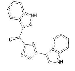 O=C(c1nc(-c2c[nH]c3ccccc23)cs1)c1c[nH]c2ccccc12